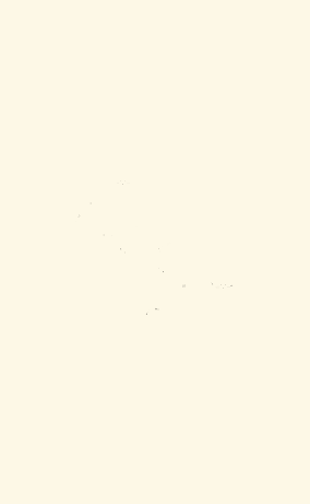 CCO[C@@H]1C[C@@H](C(=O)NC)N(C(=O)c2cc3c(OC)cccc3[nH]2)C1